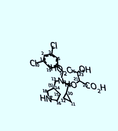 Clc1cc(Cl)cc(CN(CC2CC2)C[C@H]2CCNC2)c1.O=C(O)C(O)C(O)C(=O)O